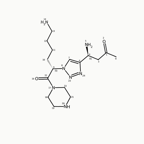 CC(=O)C[C@H](N)c1cn([C@@H](CCCCN)C(=O)N2CCNCC2)nn1